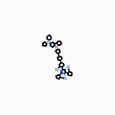 N#Cc1ccccc1-c1cc(-c2ccc(-c3ccc(-c4ccc(-n5c6ccccc6c6cc(N(c7ccccc7)c7ccccc7)ccc65)cc4)cc3)cc2C#N)nc(-c2ccccc2C#N)n1